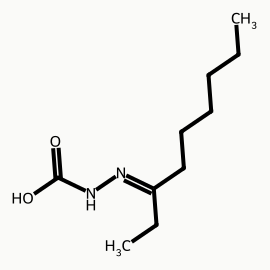 CCCCCCC(CC)=NNC(=O)O